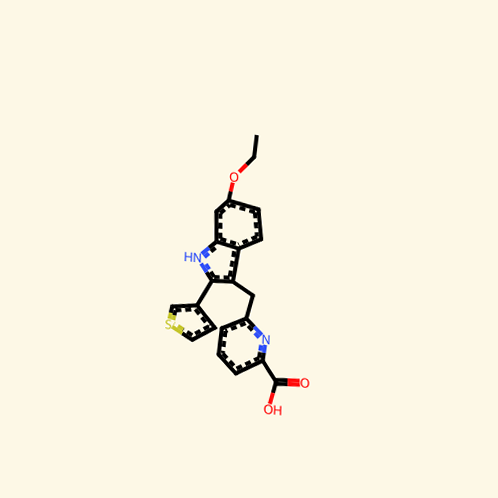 CCOc1ccc2c(Cc3cccc(C(=O)O)n3)c(-c3ccsc3)[nH]c2c1